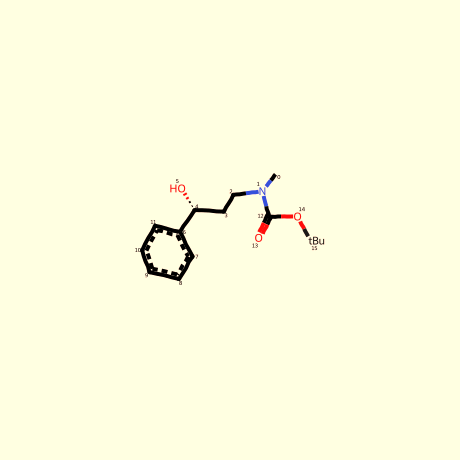 CN(CC[C@@H](O)c1ccccc1)C(=O)OC(C)(C)C